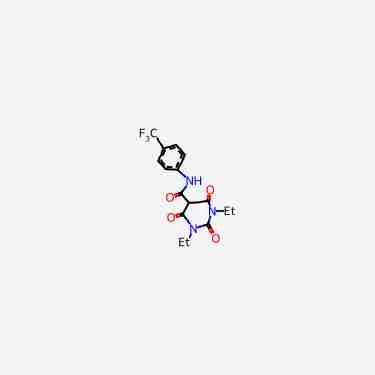 CCN1C(=O)C(C(=O)Nc2ccc(C(F)(F)F)cc2)C(=O)N(CC)C1=O